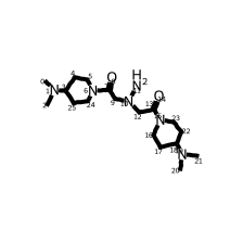 CN(C)C1CCN(C(=O)CN(N)CC(=O)N2CCC(N(C)C)CC2)CC1